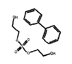 O=S(=O)(OCCO)OCCO.c1ccc(-c2ccccc2)cc1